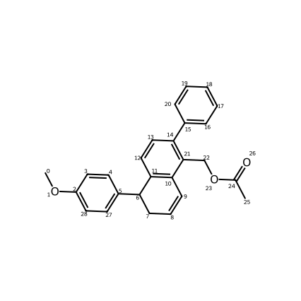 COc1ccc(C2CC=Cc3c2ccc(-c2ccccc2)c3COC(C)=O)cc1